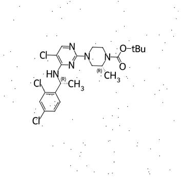 C[C@@H]1CN(c2ncc(Cl)c(N[C@H](C)c3ccc(Cl)cc3Cl)n2)CCN1C(=O)OC(C)(C)C